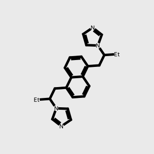 CCC(Cc1cccc2c(CC(CC)n3ccnc3)cccc12)n1ccnc1